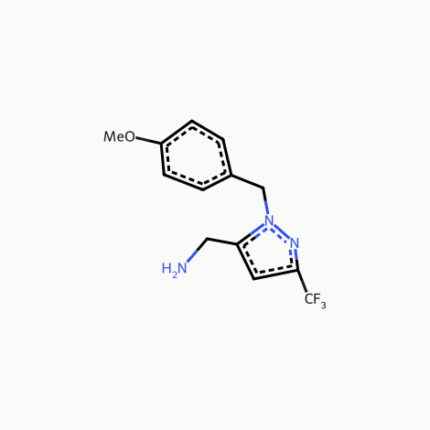 COc1ccc(Cn2nc(C(F)(F)F)cc2CN)cc1